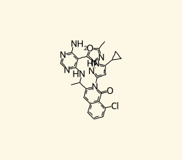 Cc1nnc(-c2c(N)ncnc2NC(C)c2cc3cccc(Cl)c3c(=O)n2-c2cc(C3CC3)[nH]n2)o1